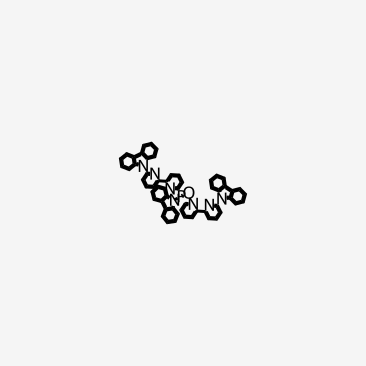 O=P(c1cccc(-c2cccc(-n3c4ccccc4c4ccccc43)n2)n1)(c1cccc(-c2cccc(-n3c4ccccc4c4ccccc43)n2)n1)n1c2ccccc2c2ccccc21